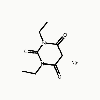 CCN1C(=O)CC(=O)N(CC)C1=O.[Na]